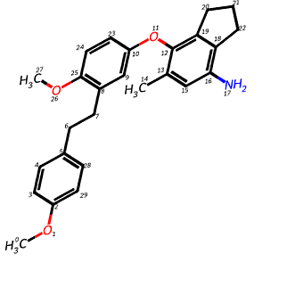 COc1ccc(CCc2cc(Oc3c(C)cc(N)c4c3CCC4)ccc2OC)cc1